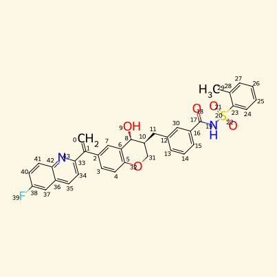 C=C(c1ccc2c(c1)[C@@H](O)[C@@H](Cc1cccc(C(=O)NS(=O)(=O)c3ccccc3C)c1)CO2)c1ccc2cc(F)ccc2n1